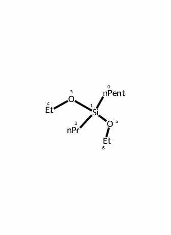 CCCCC[Si](CCC)(OCC)OCC